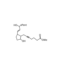 CCCCCC(O)C=CC1CCC(O)C1CC#CCCCC(=O)OC